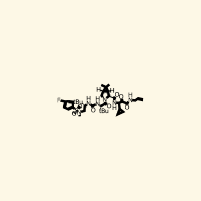 C=CCNC(=O)C(=O)C(NC(=O)[C@@H]1[C@@H]2[C@H](CN1C(=O)[C@@H](NC(=O)N[C@H](CN(C)S(=O)(=O)c1ccc(F)cc1)C(C)(C)C)C(C)(C)C)C2(C)C)C1CC1